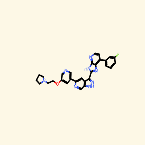 Fc1cccc(-c2ccnc3[nH]c(-c4n[nH]c5cnc(-c6cncc(OCCN7CCCC7)c6)cc45)nc23)c1